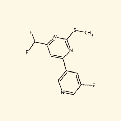 CSc1nc(-c2cncc(F)c2)cc(C(F)F)n1